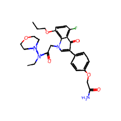 CCCOc1ccc(F)c2c(=O)c(-c3ccc(OCC(N)=O)cc3)cn(CC(=O)N(CC)N3CCOCC3)c12